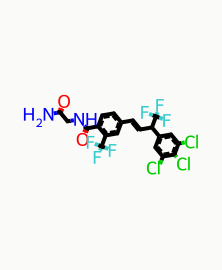 NC(=O)CNC(=O)c1ccc(C=CC(c2cc(Cl)c(Cl)c(Cl)c2)C(F)(F)F)cc1C(F)(F)F